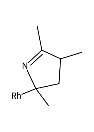 CC1=N[C](C)([Rh])CC1C